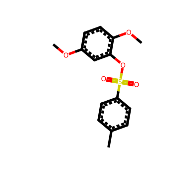 COc1ccc(OC)c(OS(=O)(=O)c2ccc(C)cc2)c1